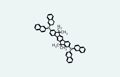 CC1(C)c2cc(N(C3=Cc4ccccc4CC3)c3ccc4ccccc4c3)ccc2-c2cc3c(cc21)-c1ccc(N(c2ccc4ccccc4c2)c2ccc4ccccc4c2)cc1C3(C)C